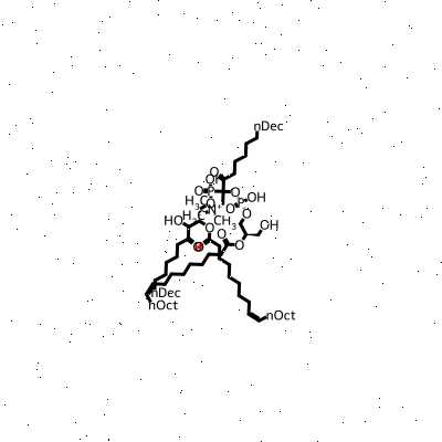 CCCCCCCC/C=C\CCCCCCCC(=O)O[C@H](CO)COP(=O)(O)OC(C[N+](C)(C)C)(C(=O)CCCCCCCCCCCCCCC)P(=O)(O)OC[C@H](OC(=O)CCCCCCC/C=C\CCCCCCCC)C(O)C(=O)CCCCCCCCCCCCCCC